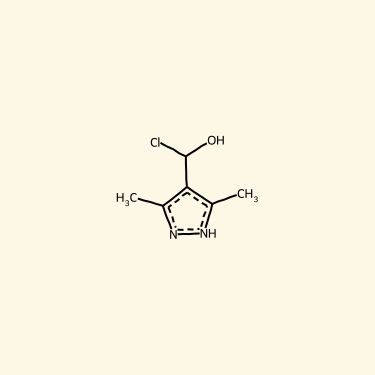 Cc1n[nH]c(C)c1C(O)Cl